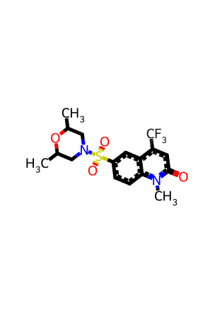 CC1CN(S(=O)(=O)c2ccc3c(c2)c(C(F)(F)F)cc(=O)n3C)CC(C)O1